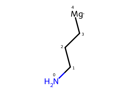 NCC[CH2][Mg]